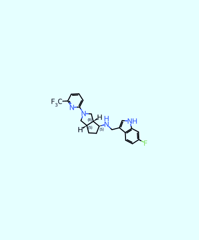 Fc1ccc2c(CN[C@H]3CC[C@@H]4CN(c5cccc(C(F)(F)F)n5)C[C@@H]43)c[nH]c2c1